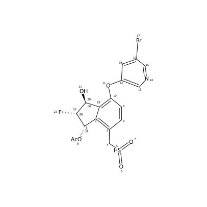 CC(=O)O[C@H]1c2c(C[SH](=O)=O)ccc(Oc3cncc(Br)c3)c2[C@H](O)[C@H]1F